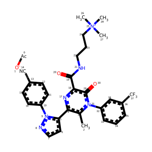 CC(=O)[O-].Cc1c(-c2ccnn2-c2ccc(C#N)cc2)nc(C(=O)NCCC[N+](C)(C)C)c(=O)n1-c1cccc(C(F)(F)F)c1